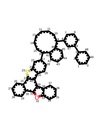 c1ccc(-c2cccc(-c3ccccccc(-c4ccc5c(c4)sc4c6ccccc6c6oc7ccccc7c6c54)c4ccccc34)c2)cc1